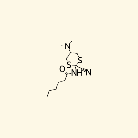 CCCCCC(=O)NC1(C#N)SCC(N(C)C)CS1